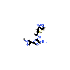 CC(Nc1nc(-c2cnn(C)c2)cnc1N)c1cc2[nH]ncc2s1